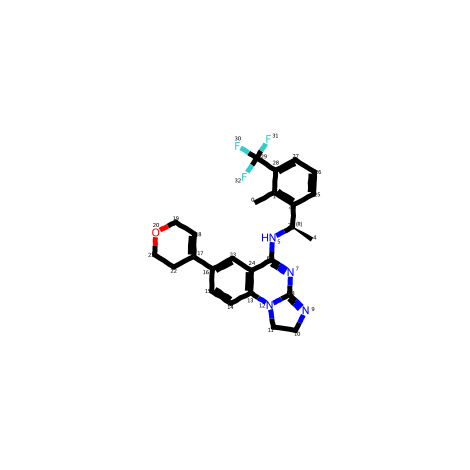 Cc1c([C@@H](C)NC2=NC3=NCCN3c3ccc(C4=CCOCC4)cc32)cccc1C(F)(F)F